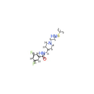 CC(C)SNCCN1CCC(CNC(=O)c2cc(F)cc(F)c2)CC1